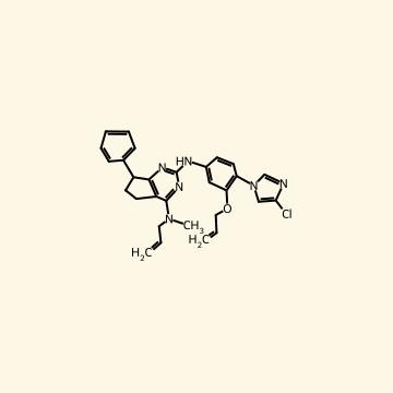 C=CCOc1cc(Nc2nc3c(c(N(C)CC=C)n2)CCC3c2ccccc2)ccc1-n1cnc(Cl)c1